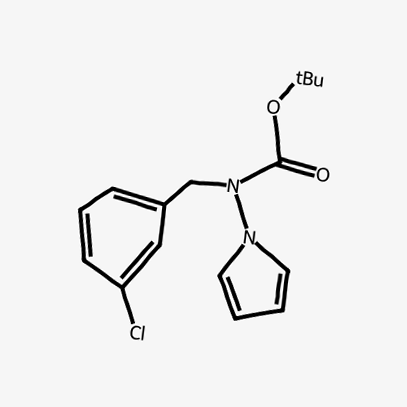 CC(C)(C)OC(=O)N(Cc1cccc(Cl)c1)n1cccc1